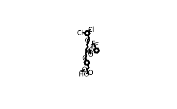 CCOC(Cc1ccc(OCCN(CCCCOCc2cc(Cl)cc(Cl)c2)C(=O)Oc2ccccc2C(F)(F)F)cc1)C(=O)O